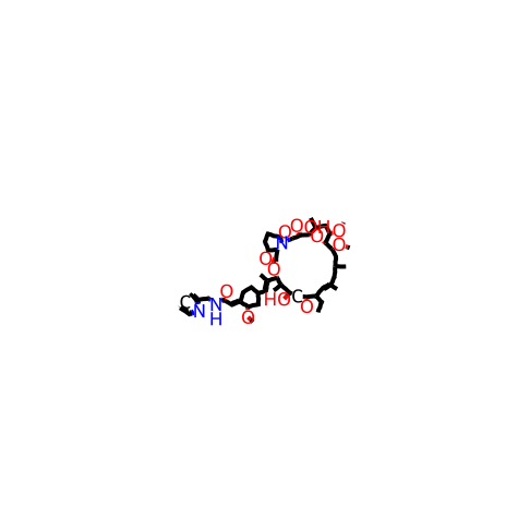 CCC1/C=C(\C)CC(C)CC(OC)C2OC(O)(C(=O)C(=O)N3CCCCC3C(=O)OC(C(C)=CC3CCC(=CC(=O)NCc4ccccn4)C(OC)C3)C(C)C(O)CC1=O)C(C)CC2OC